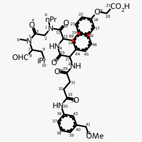 CCCN(CC(=O)N(C)C(C=O)CC(C)C)C(=O)C(Cc1ccc(OCC(=O)O)cc1)NC(=O)C(NC(=O)CCC(=O)Nc1cccc(COC)c1)c1ccccc1